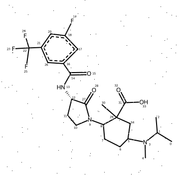 CC(C)N(C)C1CCC(N2CC[C@H](NC(=O)c3cc(F)cc(C(F)(F)F)c3)C2=O)C(C)(C(=O)O)C1